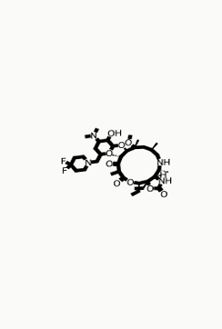 CC[C@H]1OC(=O)C(C)C(=O)[C@H](C)[C@@H](OC2OC(CN3CCC(F)(F)CC3)CC(N(C)C)C2O)[C@](C)(OC)C[C@@H](C)CN[C@H](C)[C@H]2NC(=O)O[C@@]21CC